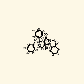 O=C1CCCCC1[C@@H]1NC(=O)N2[C@H]1CS[C@@]2(Cc1ccccc1)c1ccccc1